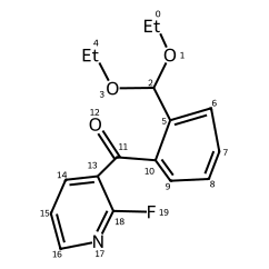 CCOC(OCC)c1ccccc1C(=O)c1cccnc1F